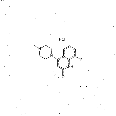 CN1CCN(c2cc(=O)[nH]c3c(F)cccc23)CC1.Cl